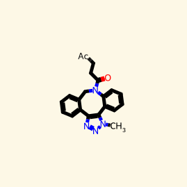 CC(=O)CCC(=O)N1Cc2ccccc2-c2nnn(C)c2-c2ccccc21